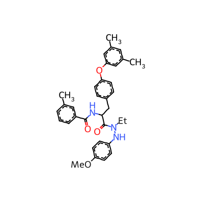 CCN(Nc1ccc(OC)cc1)C(=O)C(Cc1ccc(Oc2cc(C)cc(C)c2)cc1)NC(=O)c1cccc(C)c1